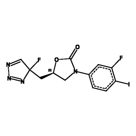 O=C1O[C@H](CC2(F)C=NN=N2)CN1c1ccc(I)c(F)c1